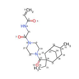 C=CC(=O)NCC(=O)N1CCN(C(=O)C2(CC)CC3CC(C)CC(C3)C2)CC1